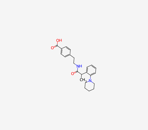 CC(C(=O)NCCc1ccc(C(=O)O)cc1)c1ccccc1N1CCCCC1